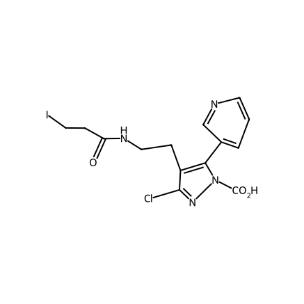 O=C(CCI)NCCc1c(Cl)nn(C(=O)O)c1-c1cccnc1